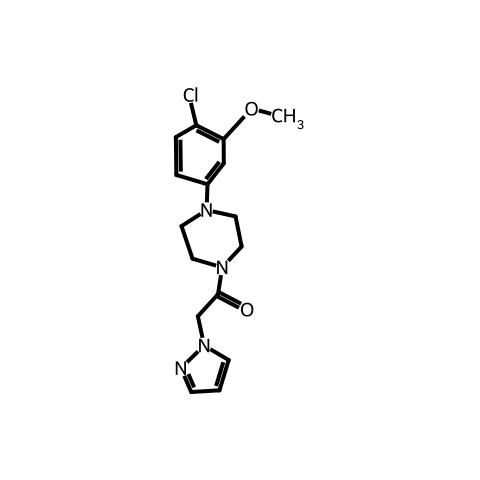 COc1cc(N2CCN(C(=O)Cn3cccn3)CC2)ccc1Cl